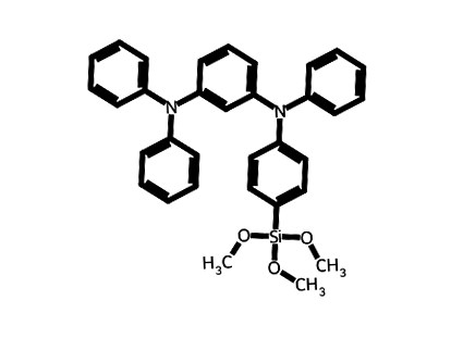 CO[Si](OC)(OC)c1ccc(N(c2ccccc2)c2cccc(N(c3ccccc3)c3ccccc3)c2)cc1